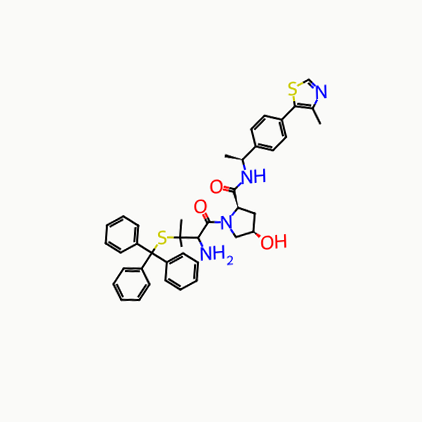 Cc1ncsc1-c1ccc([C@H](C)NC(=O)[C@H]2C[C@@H](O)CN2C(=O)C(N)C(C)(C)SC(c2ccccc2)(c2ccccc2)c2ccccc2)cc1